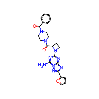 Nc1nc(N2CC[C@H]2C(=O)N2CCN(C(=O)c3ccccc3)CC2)nc2nc(-c3ccco3)nn12